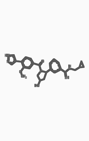 B=C(NCC1CC1)c1cccc(C2CC(O)CN2C(=O)c2ccc(-c3cn[nH]c3)c(OC)c2)c1